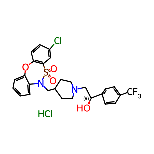 Cl.O=S1(=O)c2cc(Cl)ccc2Oc2ccccc2N1CC1CCN(C[C@H](O)c2ccc(C(F)(F)F)cc2)CC1